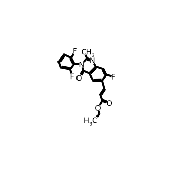 CCOC(=O)C=Cc1cc2c(=O)n(-c3c(F)cccc3F)c(C)nc2cc1F